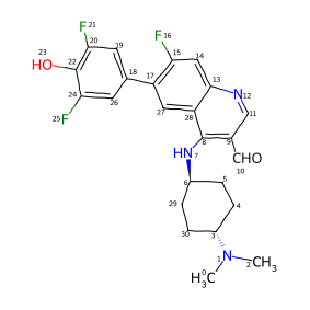 CN(C)[C@H]1CC[C@H](Nc2c(C=O)cnc3cc(F)c(-c4cc(F)c(O)c(F)c4)cc23)CC1